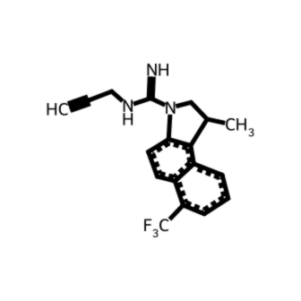 C#CCNC(=N)N1CC(C)c2c1ccc1c(C(F)(F)F)cccc21